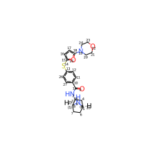 O=C(N[C@@H]1C[C@H]2CC[C@@H]1N2)c1ccc(Sc2ccc(N3CCOCC3)o2)cc1